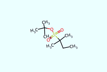 CCC(C)(C)S(=O)(=O)OC(C)(C)C